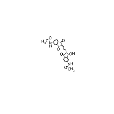 CC(=O)Nc1ccc2c(c1)C(=O)/C(=C\C=C\C1C(=O)c3ccc(NC(C)=O)cc3C1O)C2=O